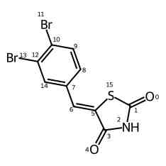 O=C1NC(=O)/C(=C/c2ccc(Br)c(Br)c2)S1